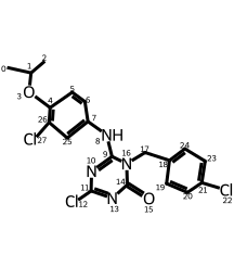 CC(C)Oc1ccc(Nc2nc(Cl)nc(=O)n2Cc2ccc(Cl)cc2)cc1Cl